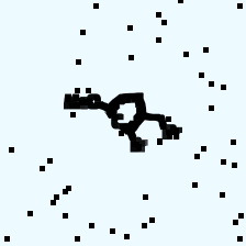 COc1ccc(CC(C)C)c(Br)c1